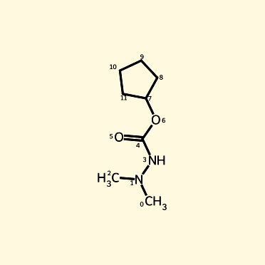 CN(C)NC(=O)OC1CCCC1